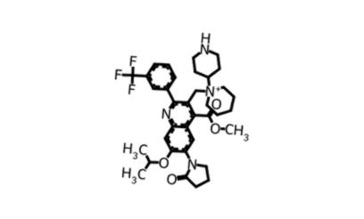 COC(=O)c1c(C[N+]2(C3CCNCC3)CCCCC2)c(-c2cccc(C(F)(F)F)c2)nc2cc(OC(C)C)c(N3CCCC3=O)cc12